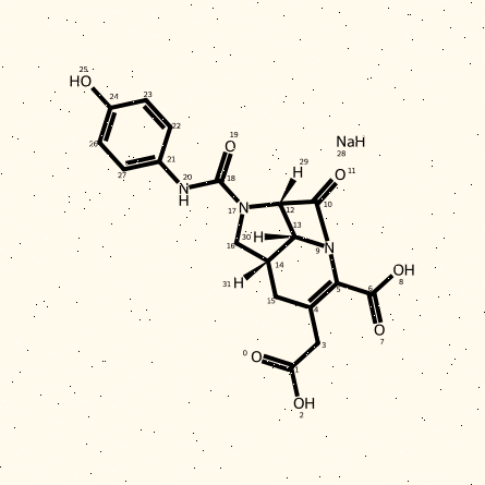 O=C(O)CC1=C(C(=O)O)N2C(=O)[C@@H]3[C@H]2[C@H](C1)CN3C(=O)Nc1ccc(O)cc1.[NaH]